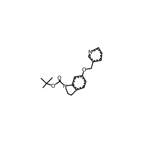 CC(C)(C)OC(=O)N1CCc2ccc(OCc3cccnc3)cc21